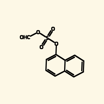 O=COS(=O)(=O)Oc1cccc2ccccc12